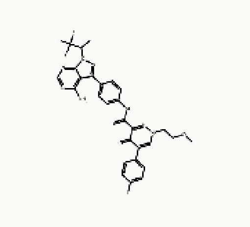 COCCn1cc(-c2ccc(F)cc2)c(=O)c(C(=O)Nc2ccc(-c3nn(C(C)C(F)(F)F)c4ncnc(N)c34)cc2)n1